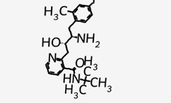 Cc1cc(F)ccc1C[C@@H](N)[C@@H](O)Cc1ncccc1C(=O)NC(C)(C)C